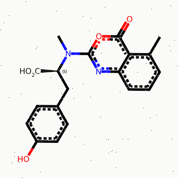 Cc1cccc2nc(N(C)[C@@H](Cc3ccc(O)cc3)C(=O)O)oc(=O)c12